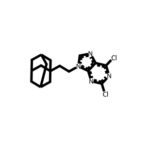 Clc1nc(Cl)c2ncn(CCC34CC5CC(CC(C5)C3)C4)c2n1